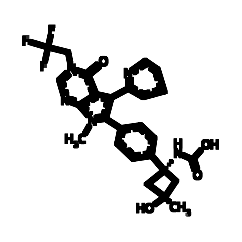 Cn1c(-c2ccc([C@]3(NC(=O)O)C[C@@](C)(O)C3)cc2)c(-c2ccccn2)c2c(=O)n(CC(F)(F)F)cnc21